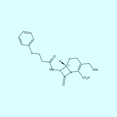 CC(=O)OCC1=C(C(=O)O)N2C(=O)C(NC(=O)CCSc3ccccc3)[C@@H]2SC1